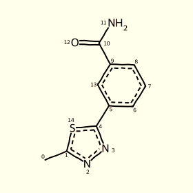 Cc1nnc(-c2cccc(C(N)=O)c2)s1